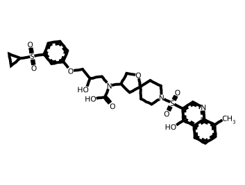 Cc1cccc2c(O)c(S(=O)(=O)N3CCC4(CC3)CC(N(CC(O)COc3cccc(S(=O)(=O)C5CC5)c3)C(=O)O)CO4)cnc12